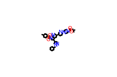 Cc1ccc(S(=O)(=O)n2cc(-c3cnn(Cc4ccccc4)c3)c3cc(-c4ccc(N5CCN(C(=O)OC(C)(C)C)CC5)nc4)cnc32)cc1